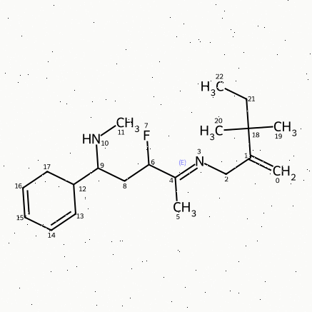 C=C(C/N=C(\C)C(F)CC(NC)C1C=CC=CC1)C(C)(C)CC